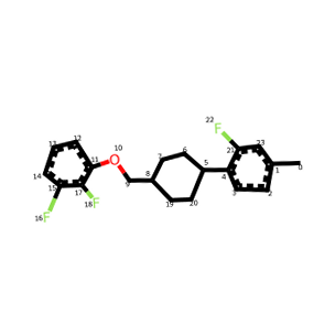 Cc1ccc(C2CCC(COc3cccc(F)c3F)CC2)c(F)c1